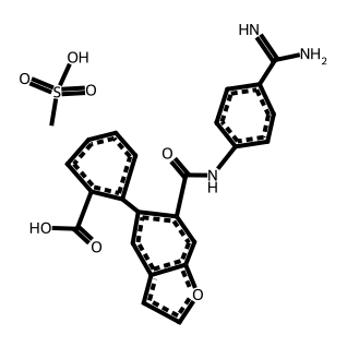 CS(=O)(=O)O.N=C(N)c1ccc(NC(=O)c2cc3occc3cc2-c2ccccc2C(=O)O)cc1